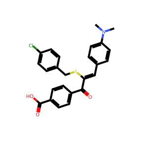 CN(C)c1ccc(C=C(SCc2ccc(Cl)cc2)C(=O)c2ccc(C(=O)O)cc2)cc1